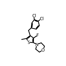 Cc1sc(N2CCOCC2)c(F)c1Cc1ccc(Cl)c(Cl)c1